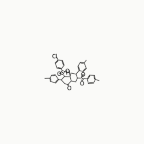 Cc1ccc(C2C[C@H]3C(CC2S(=O)(=O)c2ccc(C)cc2)C(=O)CC(c2ccc(C)cc2)C3S(=O)(=O)c2ccc(Cl)cc2)cc1